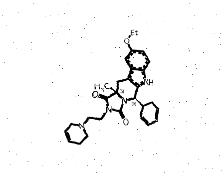 CCOc1ccc2[nH]c3c(c2c1)C[C@@]1(C)C(=O)N(CCN2CC=CCC2)C(=O)N1[C@@H]3C1C=CC=CC1